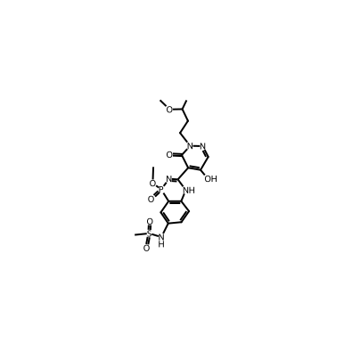 COC(C)CCn1ncc(O)c(C2=NP(=O)(OC)c3cc(NS(C)(=O)=O)ccc3N2)c1=O